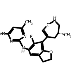 CNc1cc(C)nc(Nc2cc3c(c(C4=CCNC[C@H](C)C4)c2F)OCC3)n1